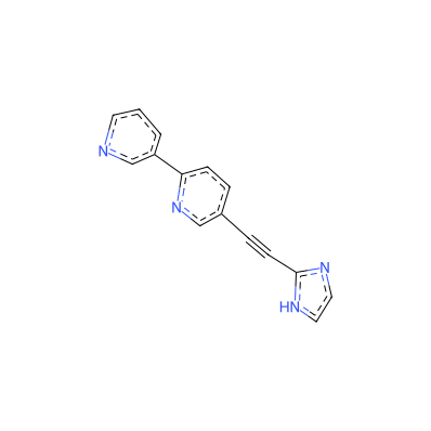 C(#Cc1ncc[nH]1)c1ccc(-c2cccnc2)nc1